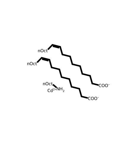 CCCCCCCC/C=C\CCCCCCCC(=O)[O-].CCCCCCCC/C=C\CCCCCCCC(=O)[O-].CCCCCCCCN.[Cd+2]